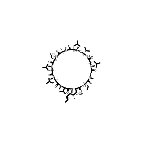 C/C=C/C[C@@H](C)[C@@H](O)[C@H]1C(=O)N[C@@H](CC)C(=O)N(C)CC(=O)N(C)[C@@H](CC(C)C)C(=O)N[C@@H](C(C)C)CN(C)[C@@H](CC(C)C)C(=O)N[C@@H](C)C(=O)N[C@H](CO)C(=O)N(C)[C@@H](CC(C)C)C(=O)N(C)[C@@H](CC(C)C)C(=O)N(C)C(C(C)C)C(=O)N1C